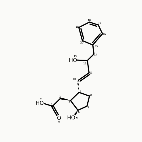 O=C(O)C[C@@H]1[C@H](O)CC[C@H]1C=CC(O)Cc1ccccc1